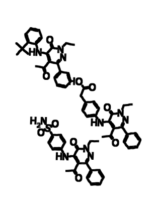 CCn1nc(-c2ccccc2)c(C(C)=O)c(Nc2ccc(CC(=O)O)cc2)c1=O.CCn1nc(-c2ccccc2)c(C(C)=O)c(Nc2ccc(S(N)(=O)=O)cc2)c1=O.CCn1nc(-c2ccccc2)c(C(C)=O)c(Nc2ccccc2C(C)(C)C)c1=O